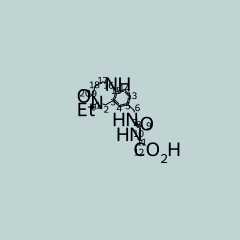 CCN1Cc2cc(CNC(=O)NCC(=O)O)ccc2NCCC1=O